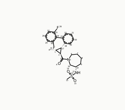 C[C@H]1[C@H](C(=O)N2CCCC[C@H](NS(C)(=O)=O)C2)[C@H]1c1ccccc1-c1c(F)cccc1F